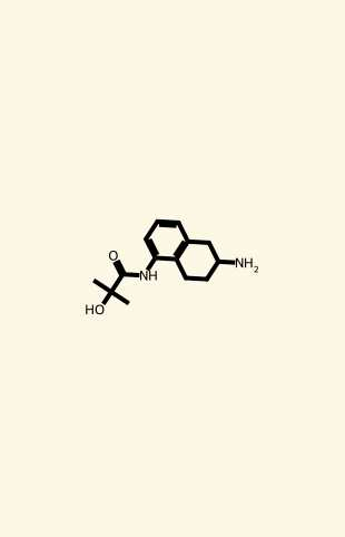 CC(C)(O)C(=O)Nc1cccc2c1CCC(N)C2